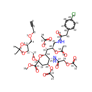 C#CCOC[C@@H]1OC(C)(C)O[C@H]1CO[C@]1(C(=O)OC)C[C@H](OC(C)=O)[C@@H](NC(=O)COC(C)=O)[C@H]([C@H](OC(C)=O)[C@@H](CNC(=O)Cc2ccc(Cl)cc2)OC(C)=O)O1